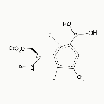 CCOC(=O)C[C@H](NS)c1c(F)c(B(O)O)cc(C(F)(F)F)c1F